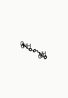 O=CC(=O)NCCCc1ccc(-c2ccc(CCCCNC(=O)OCc3ccccc3)cc2)cc1